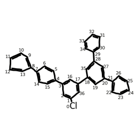 Clc1cc(-c2ccc(-c3ccccc3)cc2)cc(-c2cc(-c3ccccc3)cc(-c3ccccc3)c2)c1